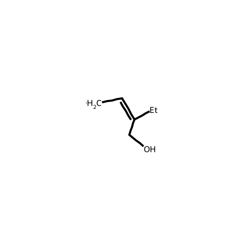 [CH2]/C=C(/CC)CO